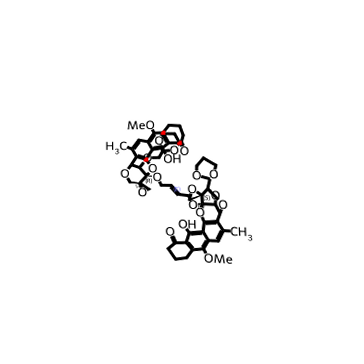 COc1c2c(c(O)c3c4c(c(C)cc13)C1OC[C@]3(CO3)[C@](OC/C=C/CO[C@@]35Oc6c(c(C)cc7c(OC)c8c(c(O)c67)C(=O)CCC8)C6OC(C7OCCCO7)(OC63)[C@]53CO3)(O4)C1OCC1OCCCO1)C(=O)CCC2